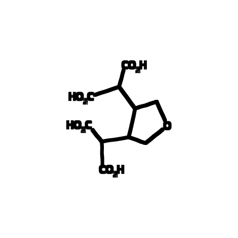 O=C(O)C(C(=O)O)C1COCC1C(C(=O)O)C(=O)O